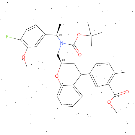 COC(=O)c1cc(C2C[C@H](CN(C(=O)OC(C)(C)C)[C@H](C)c3ccc(F)c(OC)c3)Oc3ccccc32)ccc1C